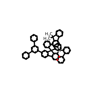 CC1(C)c2ccccc2-c2cc(N(c3ccccc3-c3ccccc3)c3cccc4c3C3(c5ccccc5-c5ccccc53)c3cc(-c5cc(-c6ccccc6)cc(-c6ccccc6)c5)ccc3-4)ccc21